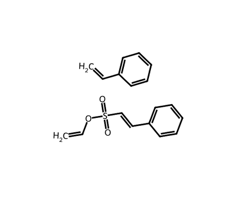 C=COS(=O)(=O)C=Cc1ccccc1.C=Cc1ccccc1